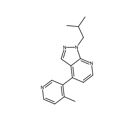 Cc1ccncc1-c1ccnc2c1cnn2CC(C)C